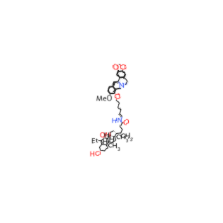 CCC1C2C[C@@H](O)CC[C@]2(C)[C@H]2CC[C@]3(C)[C@@H]([C@H](C)CCC(=O)NCCCCCCOc4c(OC)ccc5cc6[n+](cc45)CCc4cc5c(cc4-6)OCO5)CC[C@H]3[C@@H]2[C@H]1O